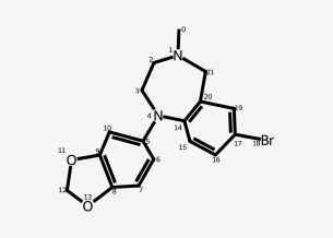 CN1CCN(c2ccc3c(c2)OCO3)c2ccc(Br)cc2C1